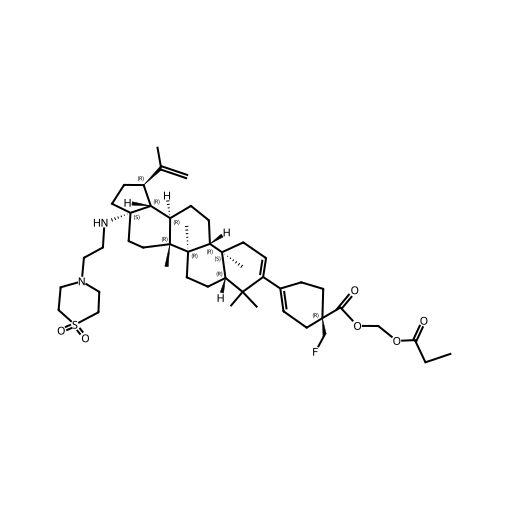 C=C(C)[C@@H]1CC[C@]2(NCCN3CCS(=O)(=O)CC3)CC[C@]3(C)[C@H](CC[C@@H]4[C@@]5(C)CC=C(C6=CC[C@@](CF)(C(=O)OCOC(=O)CC)CC6)C(C)(C)[C@@H]5CC[C@]43C)[C@@H]12